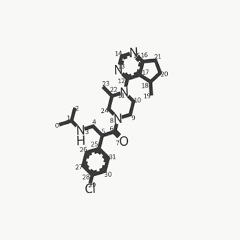 CC(C)NCC(C(=O)N1CCN(c2ncnc3c2C(C)CC3)C(C)C1)c1ccc(Cl)cc1